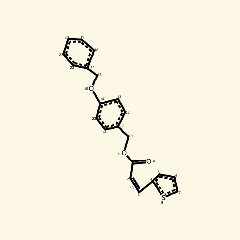 O=C(/C=C\c1cccs1)OCc1ccc(OCc2ccccc2)cc1